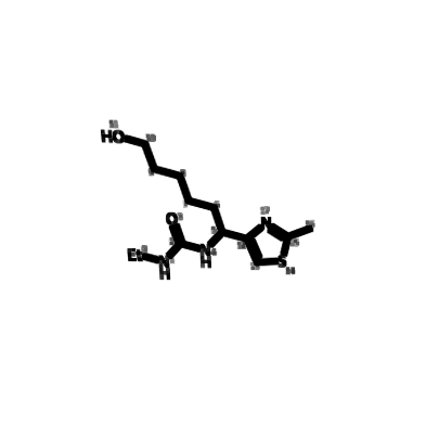 CCNC(=O)NC(CCCCCO)c1csc(C)n1